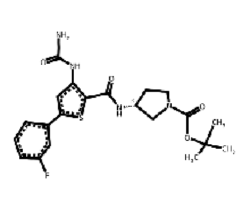 CC(C)(C)OC(=O)N1CC[C@@H](NC(=O)c2sc(-c3cccc(F)c3)cc2NC(N)=O)C1